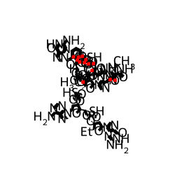 CC[C@H]1O[C@@H](n2cnc3c(=O)[nH]c(N)nc32)C[C@H]1OP(=O)(S)OC[C@H]1O[C@@H](n2cnc3c(N)ncnc32)C[C@H]1OP(=O)(S)OC[C@]12O[C@@H](n3cnc4c(=O)[nH]c(N)nc43)C(O[C@H]1C)[C@H]2OP(=O)(O)OC[C@]12O[C@@H](n3cnc4c(=O)[nH]c(N)nc43)C(O[C@H]1C)[C@H]2OP(=O)(S)OC[C@]12O[C@@H](n3cnc4c(=O)[nH]c(C)nc43)C(O[C@H]1C)[C@H]2OC(=O)OCc1ccccc1